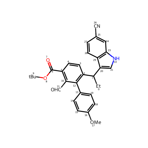 CCC(c1ccc(C(=O)OC(C)(C)C)c(C=O)c1-c1ccc(OC)cc1)c1c[nH]c2cc(C#N)ccc12